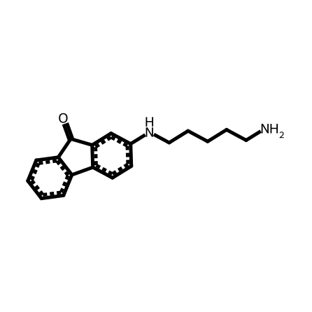 NCCCCCNc1ccc2c(c1)C(=O)c1ccccc1-2